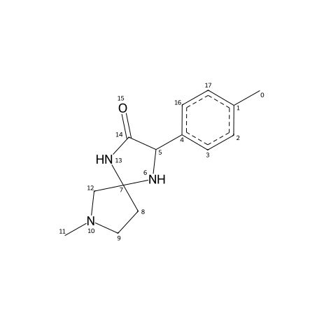 Cc1ccc(C2NC3(CCN(C)C3)NC2=O)cc1